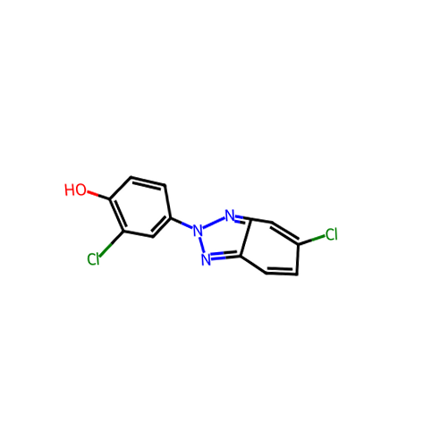 Oc1ccc(-n2nc3ccc(Cl)cc3n2)cc1Cl